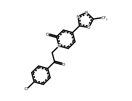 O=C(Cn1ccc(-c2nnc(C(F)(F)F)o2)cc1=O)c1ccc(Cl)cc1